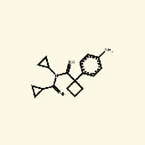 N=C(C1CC1)N(C(=N)C1(c2ccc(N)cc2)CCC1)C1CC1